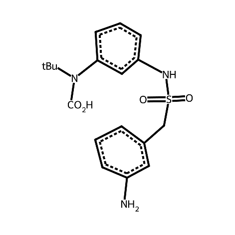 CC(C)(C)N(C(=O)O)c1cccc(NS(=O)(=O)Cc2cccc(N)c2)c1